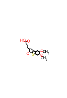 COc1cc2sc3c(c2cc1OC)CC(CCCC(=O)O)C3=O